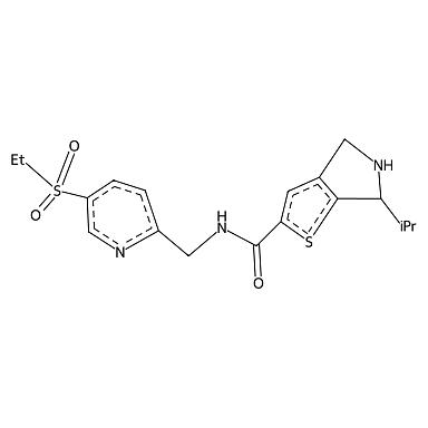 CCS(=O)(=O)c1ccc(CNC(=O)c2cc3c(s2)C(C(C)C)NC3)nc1